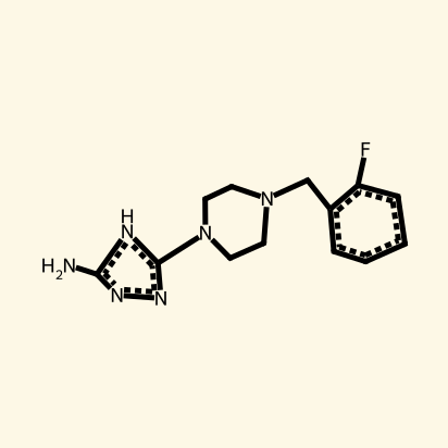 Nc1nnc(N2CCN(Cc3ccccc3F)CC2)[nH]1